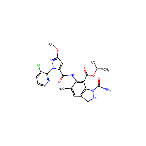 COc1cc(C(=O)Nc2c(C)cc3c(c2C(=O)OC(C)C)N(C(N)=O)NC3)n(-c2ncccc2Cl)n1